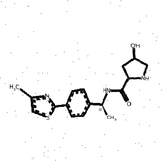 Cc1csc(-c2ccc([C@H](C)NC(=O)C3CC(O)CN3)cc2)n1